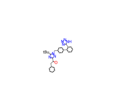 CC(C)(C)c1nc(C(=O)Cc2ccccc2)nn1Cc1ccc(-c2ccccc2-c2nnn[nH]2)cc1